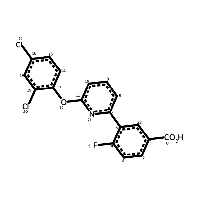 O=C(O)c1ccc(F)c(-c2cccc(Oc3ccc(Cl)cc3Cl)n2)c1